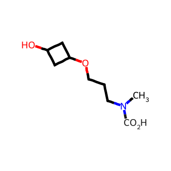 CN(CCCOC1CC(O)C1)C(=O)O